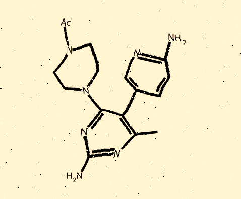 CC(=O)N1CCN(c2nc(N)nc(C)c2-c2ccc(N)nc2)CC1